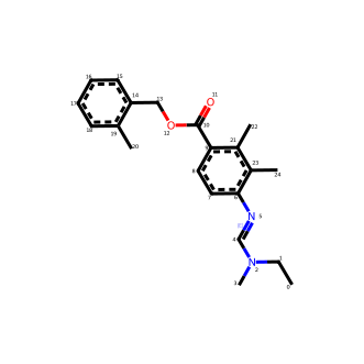 CCN(C)/C=N/c1ccc(C(=O)OCc2ccccc2C)c(C)c1C